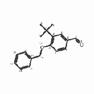 CC(C)(C)c1cc(C=O)ccc1OCc1ccccc1